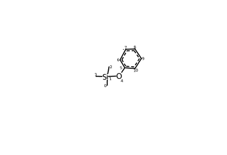 C[Si](C)(C)Oc1c[c]ccc1